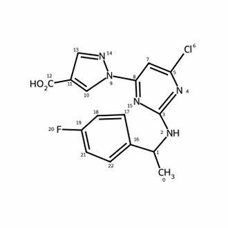 CC(Nc1nc(Cl)cc(-n2cc(C(=O)O)cn2)n1)c1ccc(F)cc1